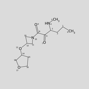 CCCC(NC)C(=O)C(=O)N1CC(OC2CCOC2)C1